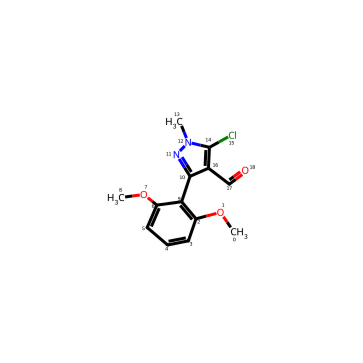 COc1cccc(OC)c1-c1nn(C)c(Cl)c1C=O